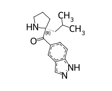 CC(C)C[C@@]1(C(=O)c2ccc3[nH]ncc3c2)CCCN1